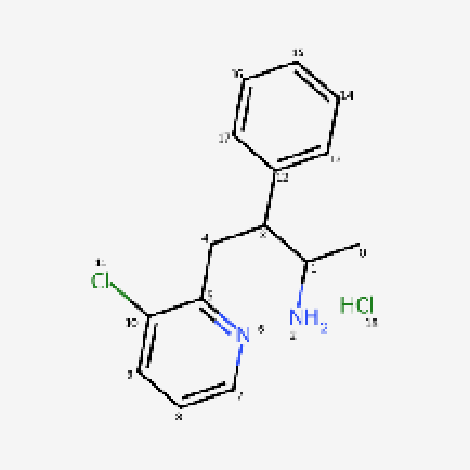 CC(N)C(Cc1ncccc1Cl)c1ccccc1.Cl